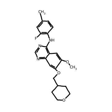 COc1cc2c(Nc3ccc(C)cc3F)ncnc2cc1OCC1CCOCC1